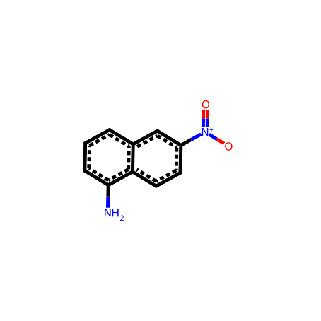 Nc1cccc2cc([N+](=O)[O-])ccc12